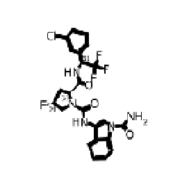 NC(=O)n1cc(NC(=O)N2C[C@H](F)C[C@H]2C(=O)N[C@@H](c2cccc(Cl)c2)C(F)(F)F)c2ccccc21